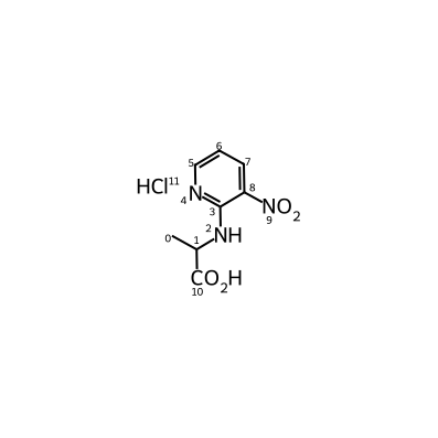 CC(Nc1ncccc1[N+](=O)[O-])C(=O)O.Cl